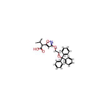 CC(C)C(C(=O)O)c1cc(OCCOC(c2ccccc2)(c2ccccc2)c2ccccc2)no1